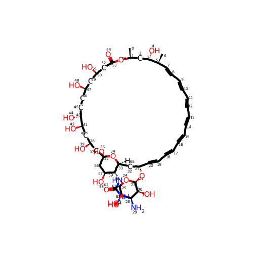 C[C@H]1C[C@H](O)[C@@H](C)/C=C/C=C/C=C/C=C/C=C/C=C/C=C/[C@H](O[C@@H]2OC[C@@H](O)[C@H](N)[C@@H]2O)C[C@@H]2O[C@](O)(C[C@@H](O)C[C@@H](O)[C@H](O)CC[C@@H](O)C[C@@H](O)CC(=O)O1)C[C@H](O)[C@H]2NC(=O)NO